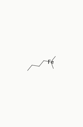 CCC[CH2][Fe]([CH3])[CH3]